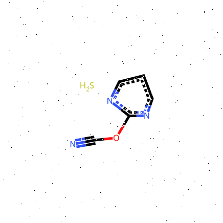 N#COc1ncccn1.S